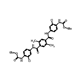 Cc1cc(C(=O)Nc2ccc(NC(=O)OC(C)(C)C)c(Cl)c2)c(C)cc1C(=O)Nc1ccc(NC(=O)OC(C)(C)C)c(Cl)c1